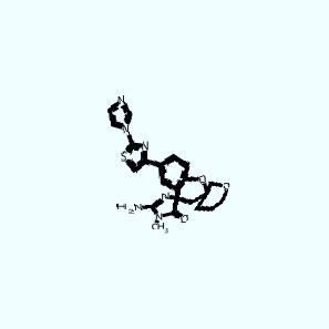 CN1C(=O)C2(CC3(CCCOC3)Oc3ccc(-c4csc(-n5ccnc5)n4)cc32)N=C1N